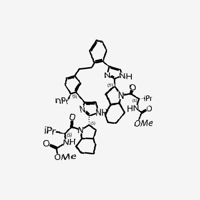 CCC[C@H]1CC=C(CCC2=C(c3c[nH]c([C@@H]4CC5CCCCC5N4C(=O)[C@@H](NC(=O)OC)C(C)C)n3)CCC=C2)C=C1c1c[nH]c([C@@H]2CC3CCCCC3N2C(=O)[C@@H](NC(=O)OC)C(C)C)n1